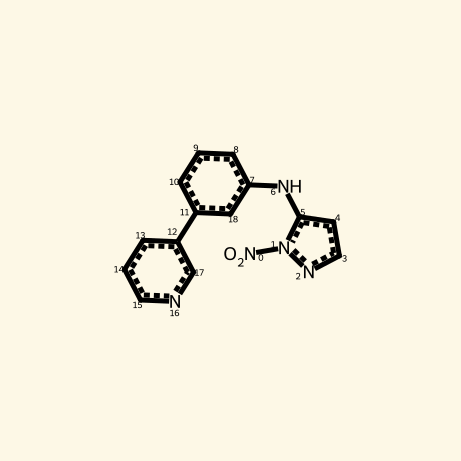 O=[N+]([O-])n1nccc1Nc1cccc(-c2cccnc2)c1